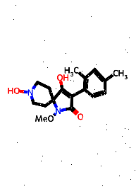 CON1C(=O)C(c2ccc(C)cc2C)=C(O)C12CCN(O)CC2